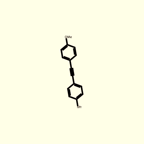 CCCc1ccc(C#Cc2ccc(OC)cc2)cc1